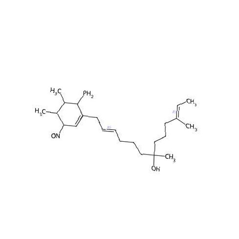 C/C=C(\C)CCCC(C)(O)CCC/C=C/CC1=CC(N=O)C(C)C(C)C1P